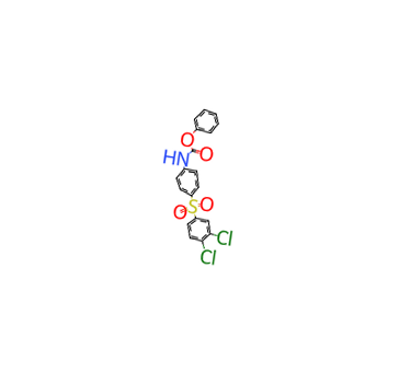 O=C(Nc1ccc(S(=O)(=O)c2ccc(Cl)c(Cl)c2)cc1)Oc1ccccc1